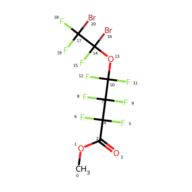 COC(=O)C(F)(F)C(F)(F)C(F)(F)OC(F)(Br)C(F)(F)Br